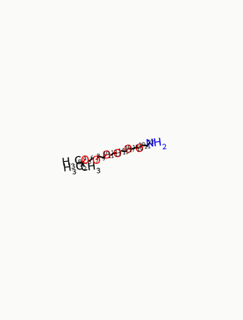 CC(C)(C)OCCOCCOCCOCCOCCOCCN